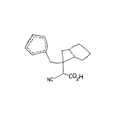 N#CC(C(=O)O)C1(Cc2ccccc2)CC2CCCC21